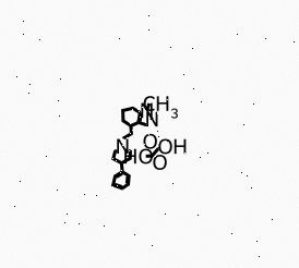 Cn1ncc2c1CCCC2CCN1CCC(c2ccccc2)CC1.O=C(O)C(=O)O